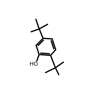 CC(C)(C)c1ccc(C(C)(C)C)c(O)c1